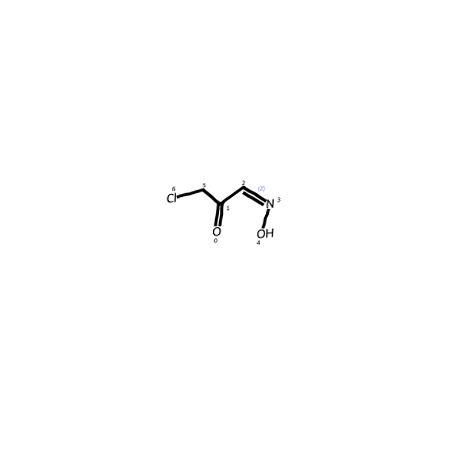 O=C(/C=N\O)CCl